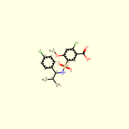 COc1cc(Cl)c(C(=O)O)cc1S(=O)(=O)NC(c1ccc(Cl)cc1)C(C)C